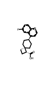 O=C(O)[C@@H]1CC[C@]12CC[C@H](c1ccnc3ccc(F)cc31)CC2